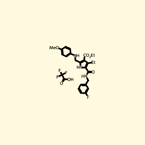 CCOC(=O)c1c(CNc2ccc(OC)cc2)[nH]c(C(=O)NCc2cccc(F)c2)c1CC.O=C(O)C(F)(F)F